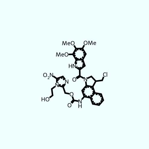 COc1cc2cc(C(=O)N3CC(CCl)c4c3cc(NC(=O)OCc3ncc([N+](=O)[O-])n3CCO)c3ccccc43)[nH]c2c(OC)c1OC